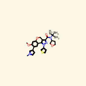 BC(B)(B)N(C(=O)c1nn(-c2ccsc2)c2c1COc1cc(OC)c(-c3ccn(C)c3)cc1-2)C1CCOC1